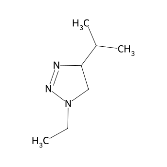 CCN1CC(C(C)C)N=N1